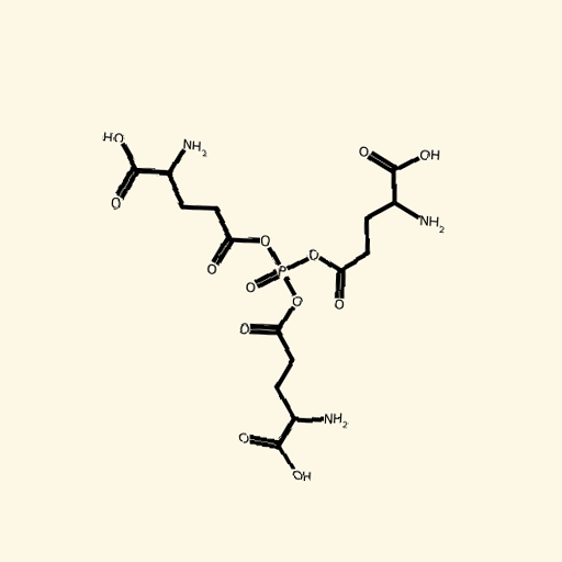 NC(CCC(=O)OP(=O)(OC(=O)CCC(N)C(=O)O)OC(=O)CCC(N)C(=O)O)C(=O)O